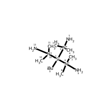 CCC(C)[Si]([N+](C)(C)N)([N+](C)(C)N)[N+](C)(C)N